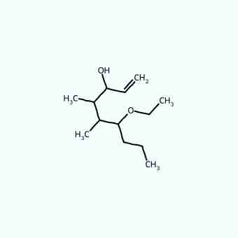 C=CC(O)C(C)C(C)C(CCC)OCC